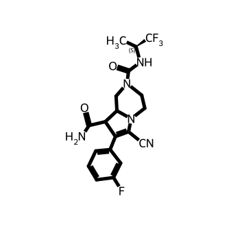 C[C@H](NC(=O)N1CCN2C(C#N)=C(c3cccc(F)c3)C(C(N)=O)C2C1)C(F)(F)F